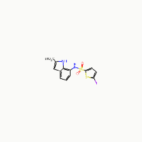 CCOC(=O)c1cc2cccc(NS(=O)(=O)c3ccc(I)s3)c2[nH]1